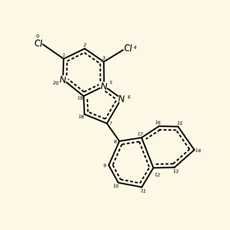 Clc1cc(Cl)n2nc(-c3cccc4ccccc34)cc2n1